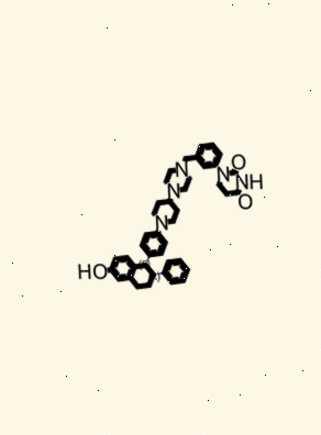 O=C1CCN(c2cccc(CN3CCN(C4CCN(c5ccc([C@H]6c7ccc(O)cc7CC[C@H]6c6ccccc6)cc5)CC4)CC3)c2)C(=O)N1